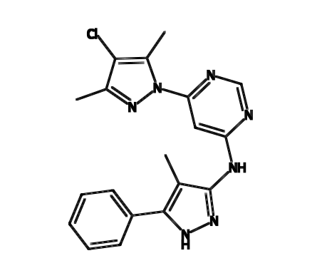 Cc1nn(-c2cc(Nc3n[nH]c(-c4ccccc4)c3C)ncn2)c(C)c1Cl